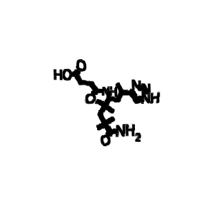 CC(CC(NC(=O)CCC(=O)O)C(C)(C)CC(C)(C)C(N)=O)c1c[nH]nn1